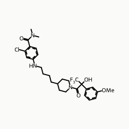 COc1cccc(C(O)(C(=O)N2CCC(CCCCNc3ccc(C(=O)N(C)C)c(Cl)c3)CC2)C(F)(F)F)c1